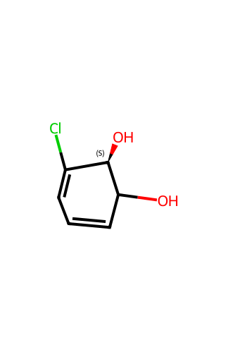 OC1C=CC=C(Cl)[C@H]1O